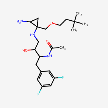 CC(=O)NC(Cc1cc(F)cc(F)c1)C(O)CNC1(COCCC(C)(C)C)CC1N